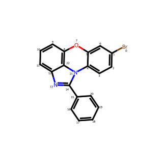 Brc1ccc2c(c1)Oc1cccc3nc(-c4ccccc4)n-2c13